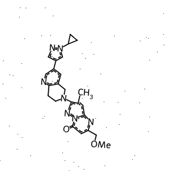 COCc1cc(=O)n2nc(N3CCc4ncc(-c5cnn(C6CC6)c5)cc4C3)c(C)cc2n1